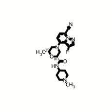 C[C@@H]1CN(c2ccc(C#N)n3ncc(F)c23)C[C@H](C(=O)NC2CCN(C)CC2)O1